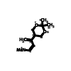 C=C(/C=C\NC)C1COC(C)(C)OC1